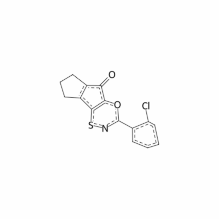 O=c1c2c(c3snc(-c4ccccc4Cl)oc1=3)CCC2